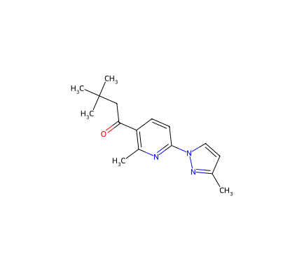 Cc1ccn(-c2ccc(C(=O)CC(C)(C)C)c(C)n2)n1